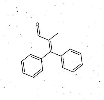 CC(C=O)=C(c1ccccc1)c1ccccc1